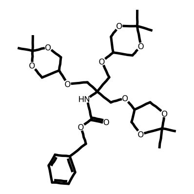 CC1(C)OCC(OCC(COC2COC(C)(C)OC2)(COC2COC(C)(C)OC2)NC(=O)OCc2ccccc2)CO1